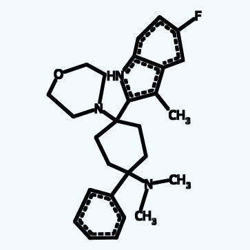 Cc1c(C2(N3CCOCC3)CCC(c3ccccc3)(N(C)C)CC2)[nH]c2ccc(F)cc12